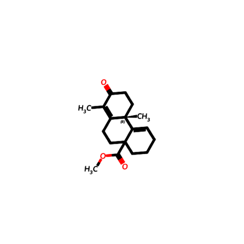 COC(=O)C12CCCC=C1[C@@]1(C)CCC(=O)C(C)=C1CC2